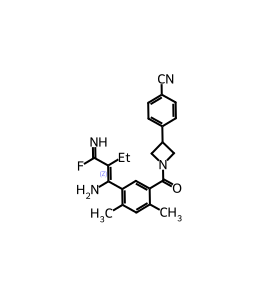 CC/C(C(=N)F)=C(/N)c1cc(C(=O)N2CC(c3ccc(C#N)cc3)C2)c(C)cc1C